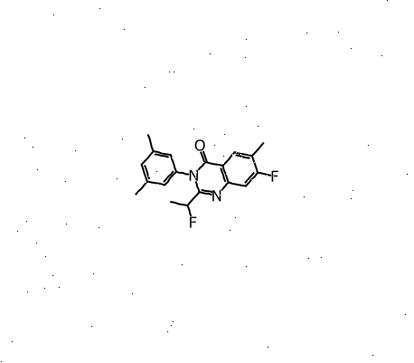 Cc1cc(C)cc(-n2c(C(C)F)nc3cc(F)c(C)cc3c2=O)c1